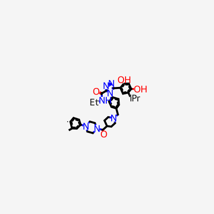 CCNC(=O)c1nnc(-c2cc(C(C)C)c(O)cc2O)n1-c1ccc(CN2CCC(C(=O)N3CCN(c4cc[c]c(C)c4)CC3)CC2)cc1